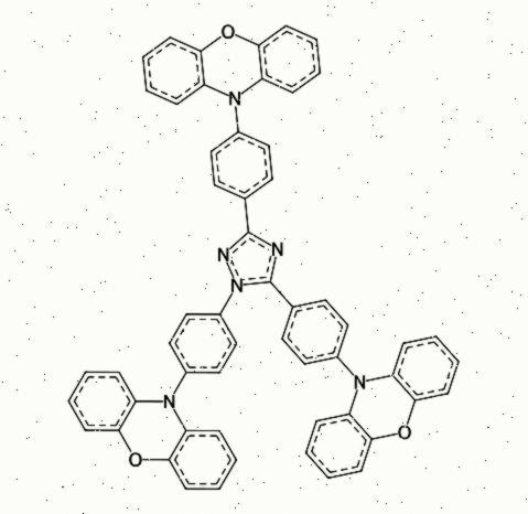 c1ccc2c(c1)Oc1ccccc1N2c1ccc(-c2nc(-c3ccc(N4c5ccccc5Oc5ccccc54)cc3)n(-c3ccc(N4c5ccccc5Oc5ccccc54)cc3)n2)cc1